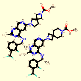 Cc1nc(N[C@H](C)c2cccc(C(F)F)c2F)c2cc(N3CC4(CCN(C(=O)OC(C)(C)C)CC4)C3)ncc2n1.Cc1nc(N[C@H](C)c2cccc(C(F)F)c2F)c2cc(N3CCC4(CN(C(=O)OC(C)(C)C)C4)C3)ncc2n1